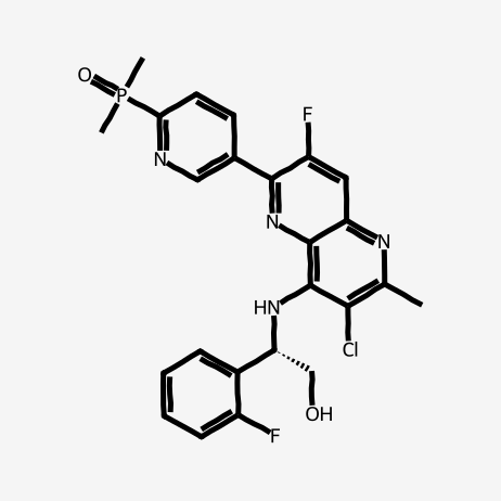 Cc1nc2cc(F)c(-c3ccc(P(C)(C)=O)nc3)nc2c(N[C@H](CO)c2ccccc2F)c1Cl